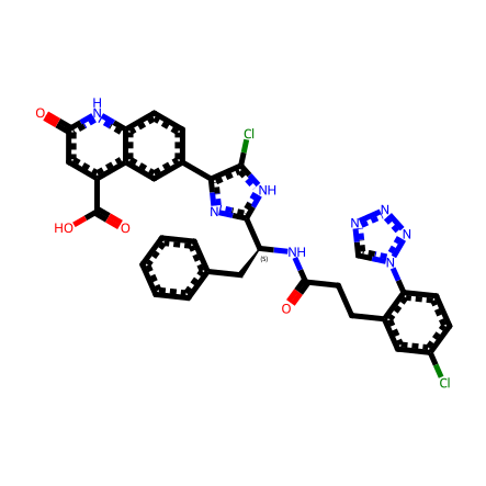 O=C(CCc1cc(Cl)ccc1-n1cnnn1)N[C@@H](Cc1ccccc1)c1nc(-c2ccc3[nH]c(=O)cc(C(=O)O)c3c2)c(Cl)[nH]1